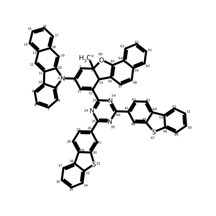 CC12C=C(n3c4ccccc4c4cc5ccccc5cc43)C=C(c3nc(-c4ccc5c(c4)sc4ccccc45)nc(-c4ccc5c(c4)sc4ccccc45)n3)C1c1ccc3ccccc3c1O2